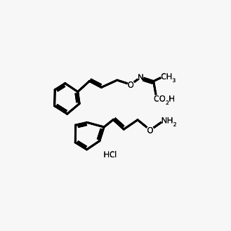 C/C(=N/OC/C=C/c1ccccc1)C(=O)O.Cl.NOC/C=C/c1ccccc1